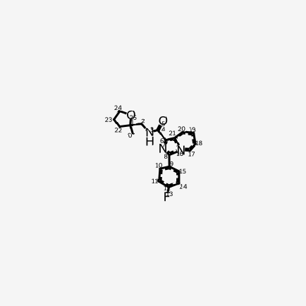 CC1(CNC(=O)c2nc(-c3ccc(F)cc3)n3ccccc23)CCCO1